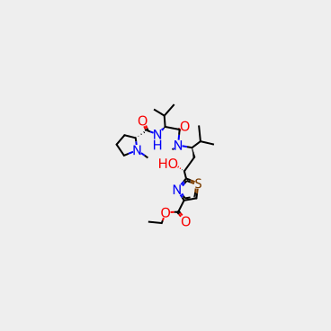 CCOC(=O)c1csc([C@H](O)C[C@H](C(C)C)N(C)C(=O)[C@@H](NC(=O)[C@H]2CCCN2C)C(C)C)n1